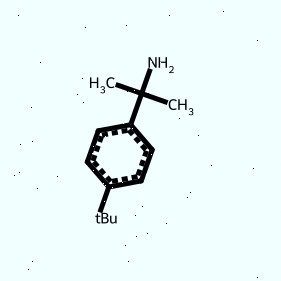 CC(C)(C)c1ccc(C(C)(C)N)cc1